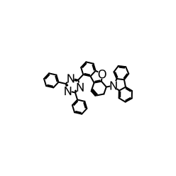 C1#Cc2c(oc3cccc(-c4nc(-c5ccccc5)nc(-c5ccccc5)n4)c23)C(n2c3ccccc3c3ccccc32)C1